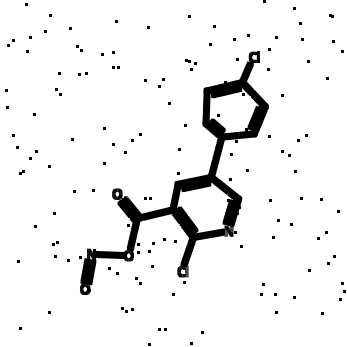 O=NOC(=O)c1cc(-c2ccc(Cl)cc2)cnc1Cl